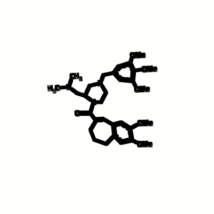 COc1cc2c(cc1OC)CCCC(C(=O)N1CCN(Cc3cc(OC)c(OC)c(OC)c3)CC1CN(C)C)=C2